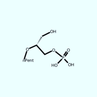 CCCCCO[C@H](CO)COP(=O)(O)O